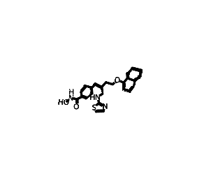 O=C(NO)c1ccc(C=C(CCOc2cccc3ccccc23)CNc2nccs2)cc1